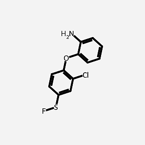 Nc1ccccc1Oc1ccc(SF)cc1Cl